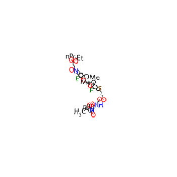 CCCCC(C)C1CC(=O)N(CC(=O)NCCOC(=O)CCCc2cc3c(F)c(OCCCOc4c(OC)cc5c(c4F)CN(C(=O)CCC(=O)OC(CC)CCC)C5)c(OC)cc3s2)C1=O